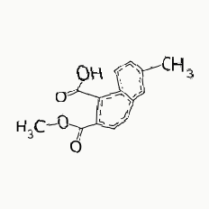 COC(=O)c1ccc2cc(C)ccc2c1C(=O)O